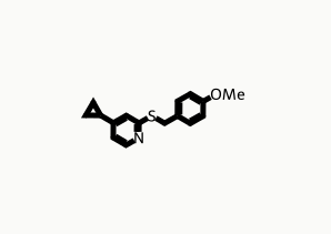 COc1ccc(CSc2cc(C3CC3)ccn2)cc1